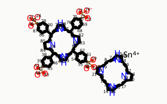 C1=Cc2cc3ccc(cc4nc(cc5ccc(cc1n2)[nH]5)C=C4)[nH]3.O=S(=O)([O-])c1ccc(-c2c3nc(c(-c4ccc(S(=O)(=O)[O-])cc4)c4ccc([nH]4)c(-c4ccc(S(=O)(=O)[O-])cc4)c4nc(c(-c5ccc(S(=O)(=O)[O-])cc5)c5ccc2[nH]5)C=C4)C=C3)cc1.[Sn+4]